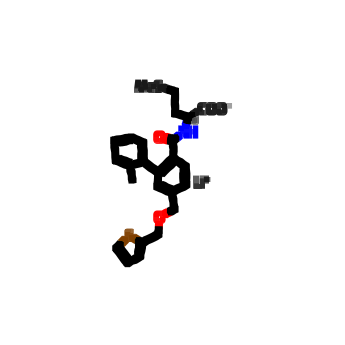 CSCC[C@H](NC(=O)c1ccc(COCc2cccs2)cc1-c1ccccc1C)C(=O)[O-].[Li+]